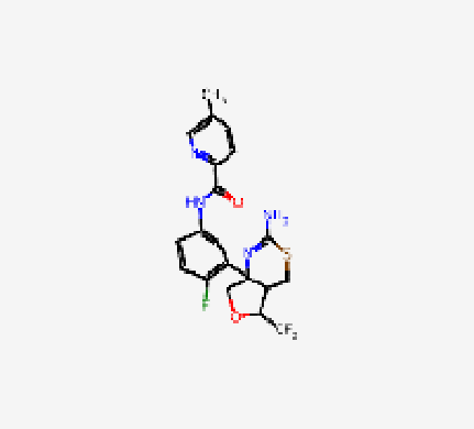 Cc1ccc(C(=O)Nc2ccc(F)c(C34COC(C(F)(F)F)C3CSC(N)=N4)c2)nc1